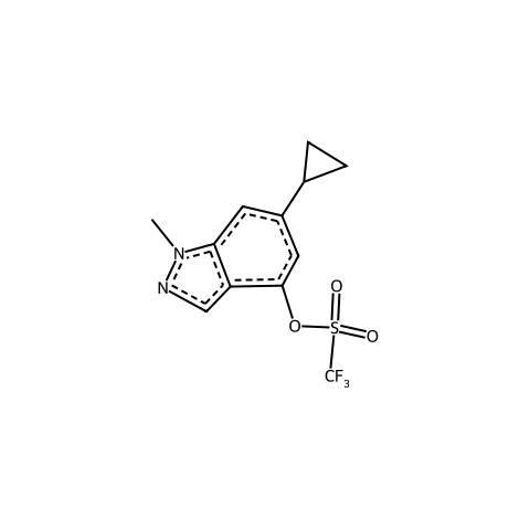 Cn1ncc2c(OS(=O)(=O)C(F)(F)F)cc(C3CC3)cc21